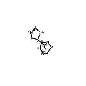 C1=NCC(C2CN3CCN2CC3)O1